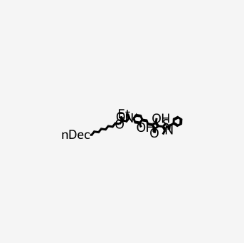 CCCCCCCCCCCCCCCCCCOC(=O)C/[N+](CC)=C1C=C/C(=C/C=C2/C(=O)C(c3sc(-c4ccccc4)nc3C)=C2O)C(O)=C/1